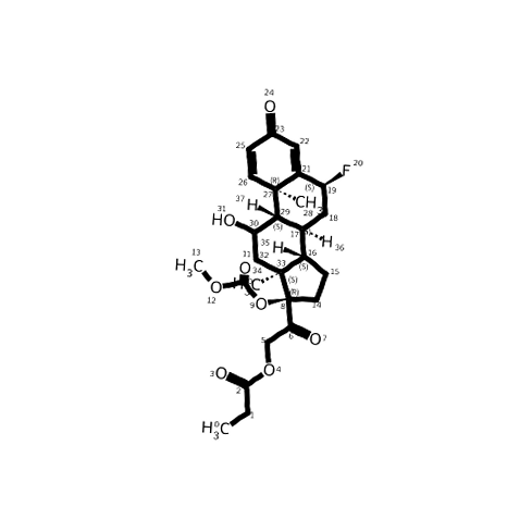 CCC(=O)OCC(=O)[C@@]1(OC(=O)OC)CC[C@H]2[C@@H]3C[C@H](F)C4=CC(=O)C=C[C@]4(C)[C@H]3C(O)C[C@@]21C